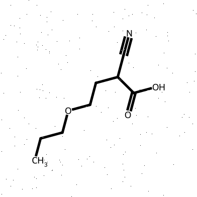 CCCOCCC(C#N)C(=O)O